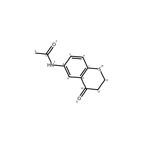 CC(=O)Nc1ccc2c(c1)C(=O)CCS2